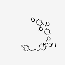 COc1ccc(C(=O)c2ccc(OCC(O)N3CCC(CCCc4ccncc4)CC3)cc2)c(OC)c1